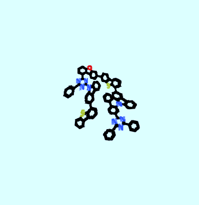 c1ccc(-c2nc(-c3ccccc3)nc(-c3ccc(-c4ccccc4)c(-n4c5ccccc5c5cc(-c6cccc7c6sc6cc(-c8ccc9c(c8)oc8cccc(-c%10nc(-c%11ccccc%11)nc(-n%11c%12ccccc%12c%12cc(-c%13cccc%14c%13sc%13ccccc%13%14)ccc%12%11)n%10)c89)ccc67)ccc54)c3)n2)cc1